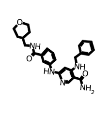 NC(=O)c1cnc(Nc2cccc(C(=O)NCC3CCOCC3)c2)cc1NCc1ccccc1